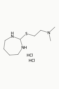 CN(C)CCSC1NCCCCN1.Cl.Cl